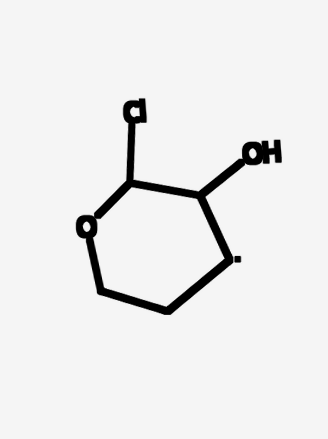 OC1[CH]CCOC1Cl